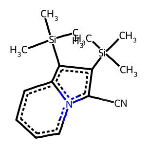 C[Si](C)(C)c1c([Si](C)(C)C)c2ccccn2c1C#N